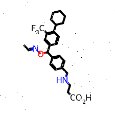 CC=NOC(c1ccc(CNCCC(=O)O)cc1)c1ccc(C2CCCCC2)c(C(F)(F)F)c1